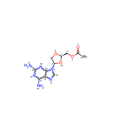 CC(C)C(=O)OC[C@@H]1OC[C@H](n2cnc3c(N)nc(N)nc32)O1